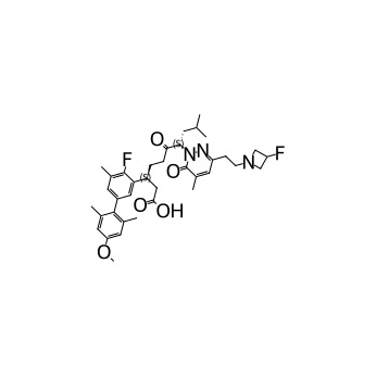 COc1cc(C)c(-c2cc(C)c(F)c([C@@H](CCC(=O)[C@H](CC(C)C)n3nc(CCN4CC(F)C4)cc(C)c3=O)CC(=O)O)c2)c(C)c1